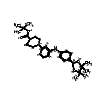 CC(C)(C)OC(=O)N1CCN(c2nccc(Nc3ccc(B4OC(C)(C)C(C)(C)O4)cc3)n2)CC1